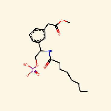 CCCCCCCC(=O)NC(COP(=O)(O)O)c1cccc(CC(=O)OC)c1